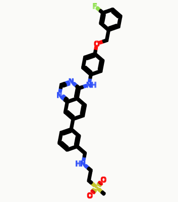 CS(=O)(=O)CCNCc1cccc(-c2ccc3c(Nc4ccc(OCc5cccc(F)c5)cc4)ncnc3c2)c1